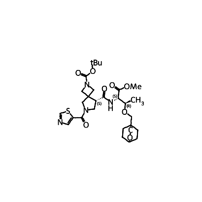 COC(=O)[C@@H](NC(=O)[C@@H]1CN(C(=O)c2cncs2)CC12CN(C(=O)OC(C)(C)C)C2)[C@@H](C)OCC12CCC(CC1)OC2